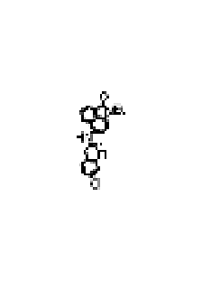 CCN1C(=O)c2cccc3c(NC(=O)Cc4ccc(Cl)cc4Cl)ccc1c23